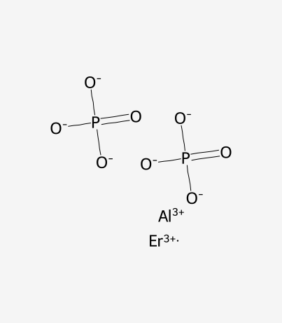 O=P([O-])([O-])[O-].O=P([O-])([O-])[O-].[Al+3].[Er+3]